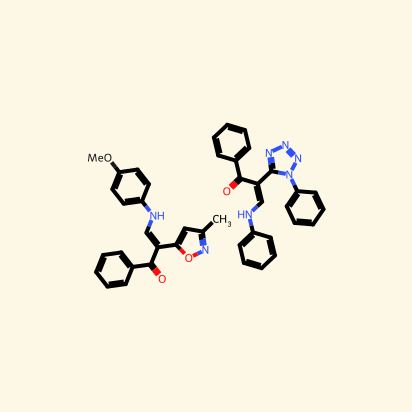 COc1ccc(N/C=C(/C(=O)c2ccccc2)c2cc(C)no2)cc1.O=C(/C(=C\Nc1ccccc1)c1nnnn1-c1ccccc1)c1ccccc1